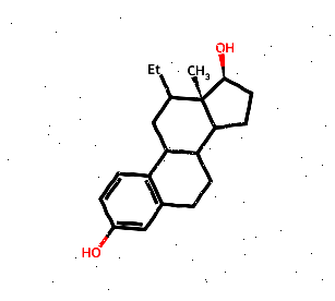 CCC1CC2c3ccc(O)cc3CCC2C2CC[C@H](O)[C@@]12C